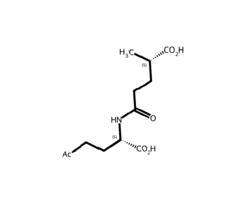 CC(=O)CC[C@H](NC(=O)CC[C@H](C)C(=O)O)C(=O)O